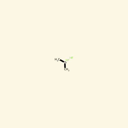 F.F.[CH3][Zr][CH3]